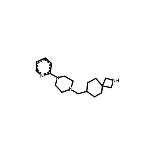 c1ccc(N2CCN(CC3CCC4(CC3)CNC4)CC2)nc1